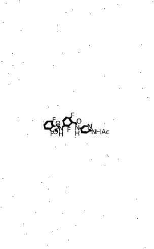 CC(=O)Nc1ccc(NC(=O)c2c(F)ccc(NS(=O)(=O)c3c(F)cccc3F)c2F)cn1